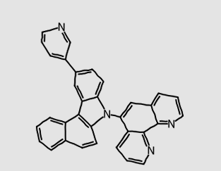 c1cncc(-c2ccc3c(c2)c2c4ccccc4ccc2n3-c2cc3cccnc3c3ncccc23)c1